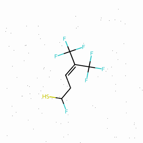 FC(S)CC=C(C(F)(F)F)C(F)(F)F